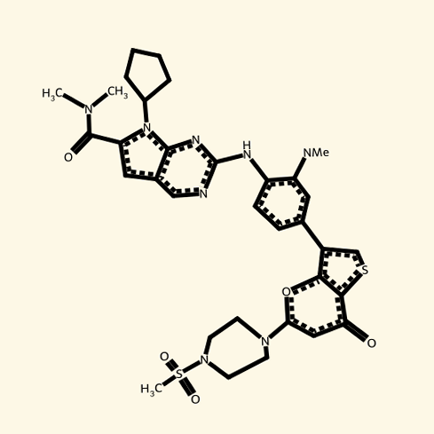 CNc1cc(-c2csc3c(=O)cc(N4CCN(S(C)(=O)=O)CC4)oc23)ccc1Nc1ncc2cc(C(=O)N(C)C)n(C3CCCC3)c2n1